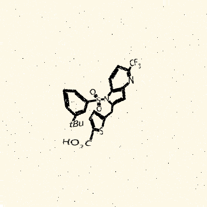 CC(C)(C)c1cccc(S(=O)(=O)n2c(Cc3ccc(C(=O)O)s3)cc3nc(C(F)(F)F)ccc32)c1